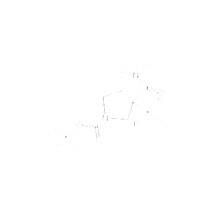 CN(C)C(=O)C1(C(C)(F)F)CCN(C(=O)OC(C)(C)C)C1